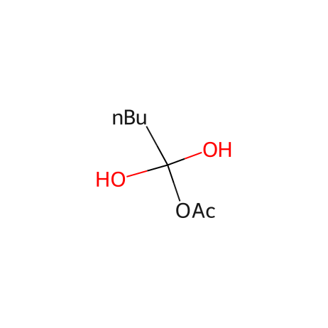 CCCCC(O)(O)OC(C)=O